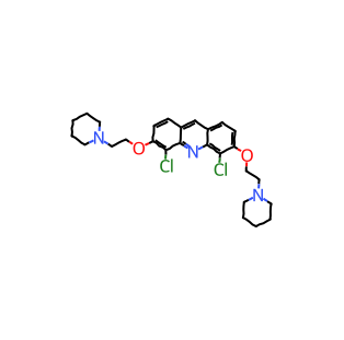 Clc1c(OCCN2CCCCC2)ccc2cc3ccc(OCCN4CCCCC4)c(Cl)c3nc12